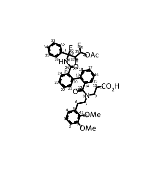 COc1cccc(CCN(CCC(=O)O)C(=O)c2ccccc2-c2ccccc2C(=O)NC(F)(c2ccccc2)C(F)C(F)OC(C)=O)c1OC